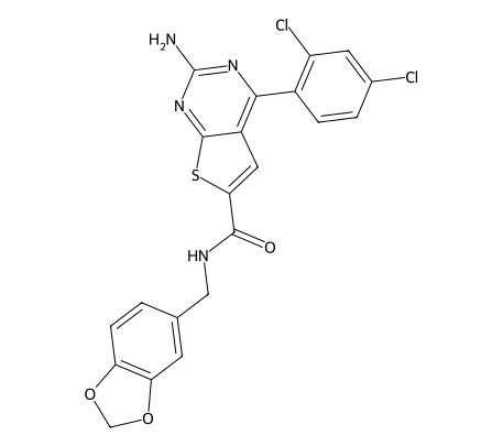 Nc1nc(-c2ccc(Cl)cc2Cl)c2cc(C(=O)NCc3ccc4c(c3)OCO4)sc2n1